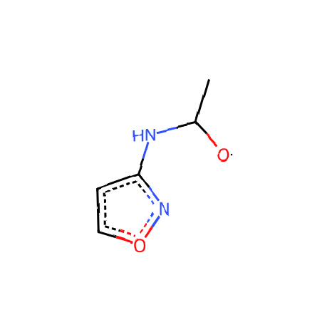 CC([O])Nc1ccon1